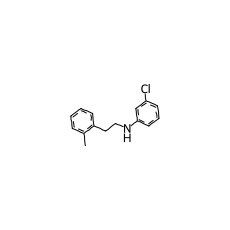 Cc1ccccc1CCNc1cccc(Cl)c1